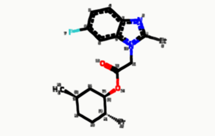 CCc1nc2ccc(F)cc2n1CC(=O)O[C@@H]1C[C@H](C)CC[C@H]1C(C)C